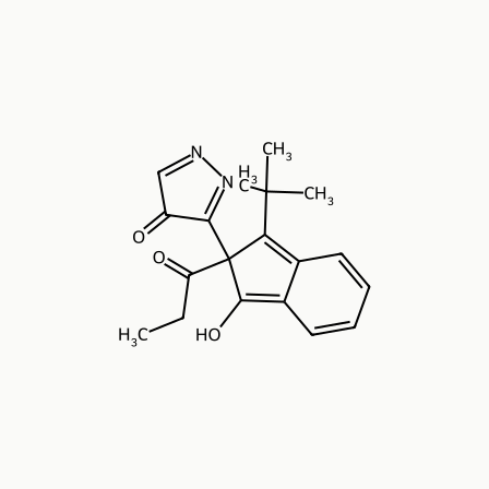 CCC(=O)C1(C2=NN=CC2=O)C(O)=c2ccccc2=C1C(C)(C)C